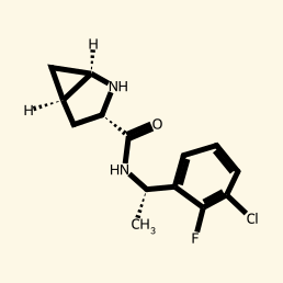 C[C@H](NC(=O)[C@@H]1C[C@H]2C[C@H]2N1)c1cccc(Cl)c1F